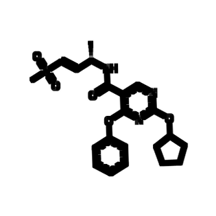 C[C@@H](/C=C/S(C)(=O)=O)NC(=O)c1cnc(OC2CCCC2)nc1Oc1ccccc1